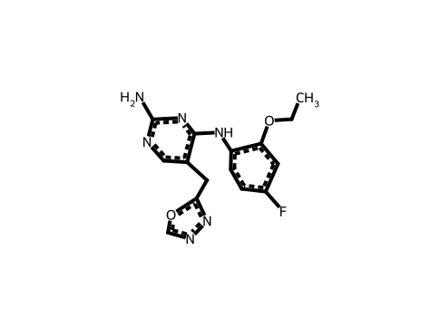 CCOc1cc(F)ccc1Nc1nc(N)ncc1Cc1nnco1